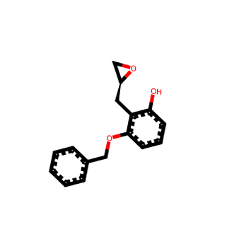 Oc1cccc(OCc2ccccc2)c1C[C@H]1CO1